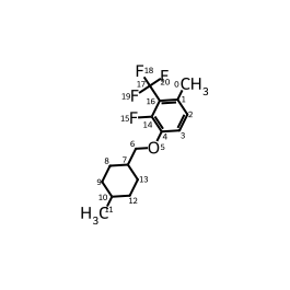 Cc1ccc(OCC2CCC(C)CC2)c(F)c1C(F)(F)F